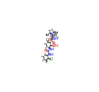 CN1[C@@H]2CC[C@H]1C[C@@H](NS(=O)(=O)c1c(Cl)ccc(NC(=O)Nc3cccc(F)c3Cl)c1O)C2